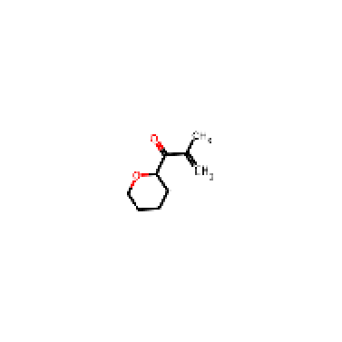 C=C(C)C(=O)C1CCCCO1